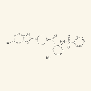 O=C(c1ccccc1NS(=O)(=O)c1ccccn1)N1CCN(c2nc3ccc(Br)cc3s2)CC1.[Na]